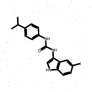 CC(C)c1ccc(NC(=O)Nc2c[nH]c3ccc(I)cc23)cc1